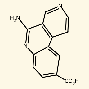 Nc1nc2ccc(C(=O)O)cc2c2ccncc12